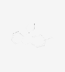 Bc1ccc2c(c1)C(CC)(CC)c1ccccc1O2